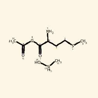 CSCCC(N)C(=O)OC(C)=O.C[SiH2]O